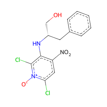 O=[N+]([O-])c1cc(Cl)[n+]([O-])c(Cl)c1N[C@H](CO)Cc1ccccc1